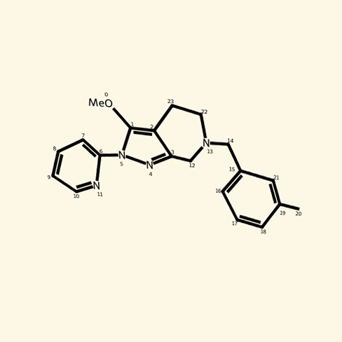 COc1c2c(nn1-c1ccccn1)CN(Cc1cccc(C)c1)CC2